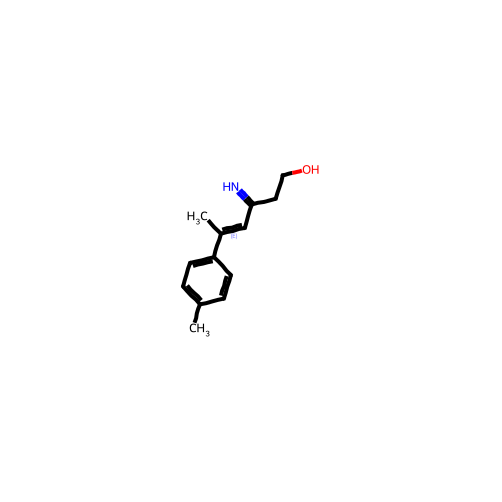 C/C(=C\C(=N)CCO)c1ccc(C)cc1